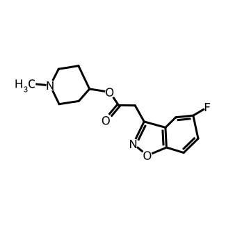 CN1CCC(OC(=O)Cc2noc3ccc(F)cc23)CC1